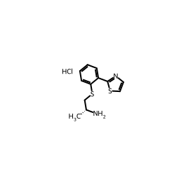 C[C@@H](N)CSc1ccccc1-c1nccs1.Cl